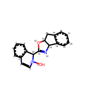 ON1C=Cc2ccccc2C1C1=NC2c3ccccc3CC2O1